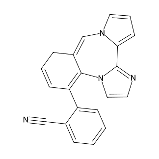 N#Cc1ccccc1C1=C2C(=Cn3cccc3-c3nccn32)CC=C1